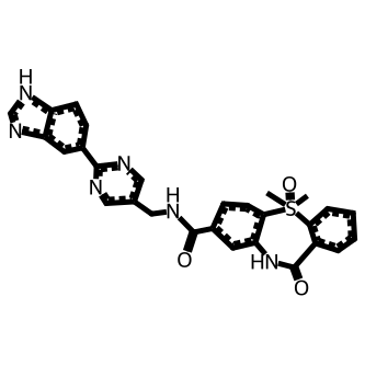 CS1(C)(=O)c2ccc(C(=O)NCc3cnc(-c4ccc5[nH]cnc5c4)nc3)cc2NC(=O)c2ccccc21